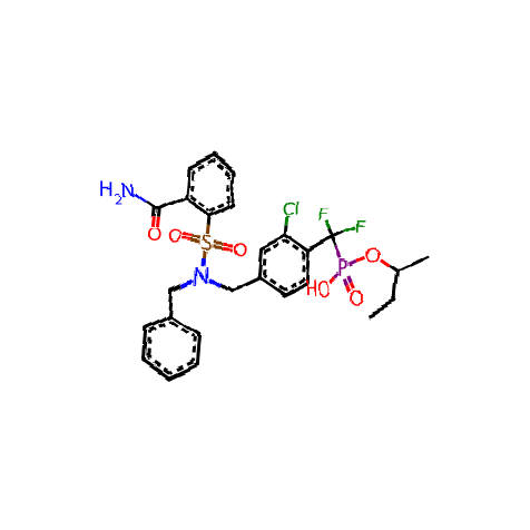 CCC(C)OP(=O)(O)C(F)(F)c1ccc(CN(Cc2ccccc2)S(=O)(=O)c2ccccc2C(N)=O)cc1Cl